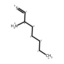 CCCCCC(N)C=S